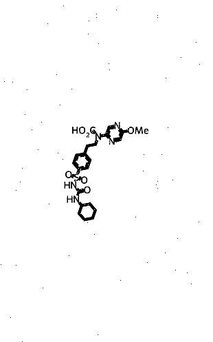 COc1cnc(N(CCc2ccc(S(=O)(=O)NC(=O)NC3CCCCC3)cc2)C(=O)O)cn1